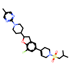 Cc1cnc(N2CCC(C3Cc4cc(C5=CCN(S(=O)(=O)CC(C)C)CC5)cc(F)c4O3)CC2)nc1